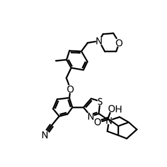 Cc1cc(CN2CCOCC2)ccc1COc1ccc(C#N)cc1-c1csc(N2CC3CCC(C2)C3C(=O)O)n1